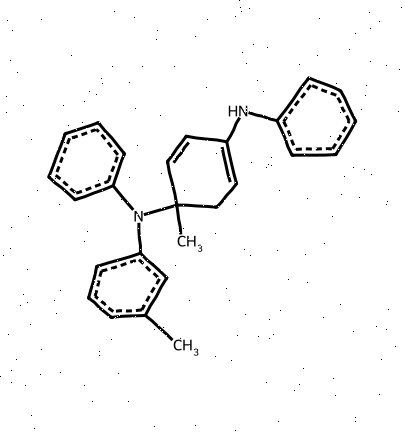 Cc1cccc(N(c2ccccc2)C2(C)C=CC(Nc3ccccc3)=CC2)c1